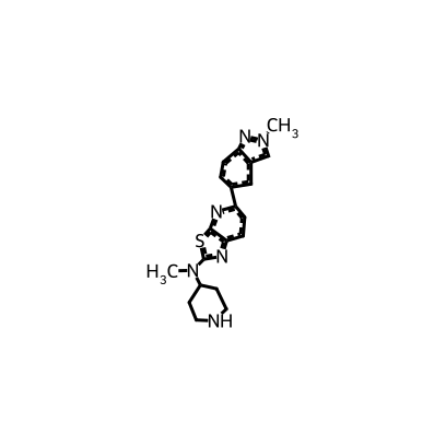 CN(c1nc2ccc(-c3ccc4nn(C)cc4c3)nc2s1)C1CCNCC1